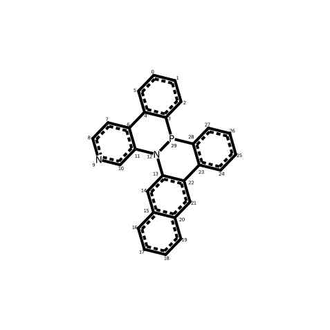 c1ccc2c(c1)-c1ccncc1N1c3cc4ccccc4cc3-c3ccccc3P21